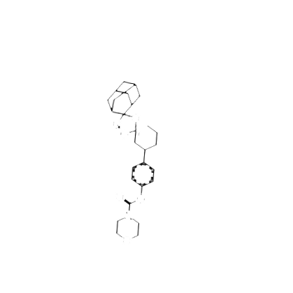 O=C(Oc1ccc(C2CCC[C@]3(C2)OOC2(O3)C3CC4CC(C3)CC2C4)cc1)N1CCOCC1